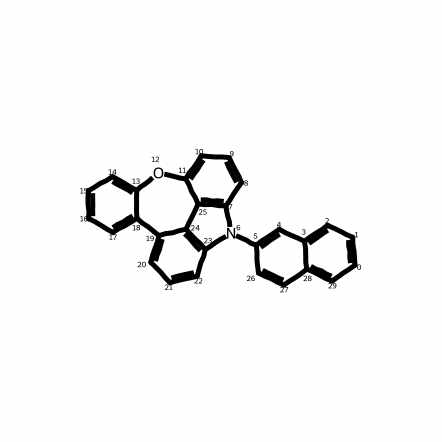 c1ccc2cc(-n3c4cccc5oc6ccccc6c6cccc3c6c54)ccc2c1